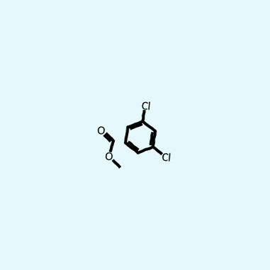 COC=O.Clc1cccc(Cl)c1